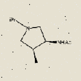 CC(=O)N[C@@H]1CN(C(C)C)C[C@@H]1C